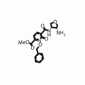 COC(=O)c1ccc(C(=O)N[C@@H]2COC[C@@H]2N)c(=O)n1OCc1ccccc1